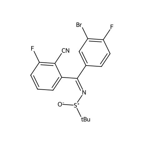 CC(C)(C)[S+]([O-])N=C(c1ccc(F)c(Br)c1)c1cccc(F)c1C#N